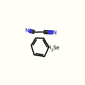 N#CC#N.[SeH2].c1ccccc1